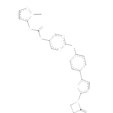 Cn1nccc1NC(=O)Nc1cnc(Oc2ccc(-c3cnc(N4CCC4=O)s3)cc2)nc1